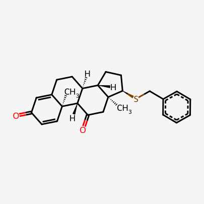 C[C@]12CC(=O)[C@H]3[C@@H](CCC4=CC(=O)C=C[C@@]43C)[C@@H]1CC[C@H]2SCc1ccccc1